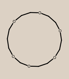 C1COCCOCCOCCOCCOCOC1